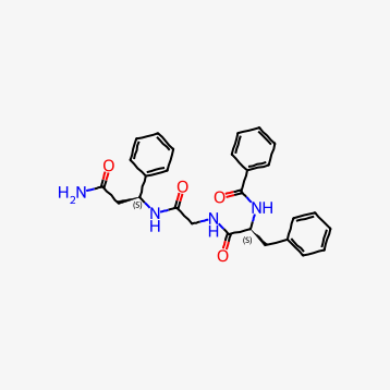 NC(=O)C[C@H](NC(=O)CNC(=O)[C@H](Cc1ccccc1)NC(=O)c1ccccc1)c1ccccc1